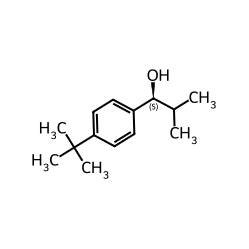 CC(C)[C@H](O)c1ccc(C(C)(C)C)cc1